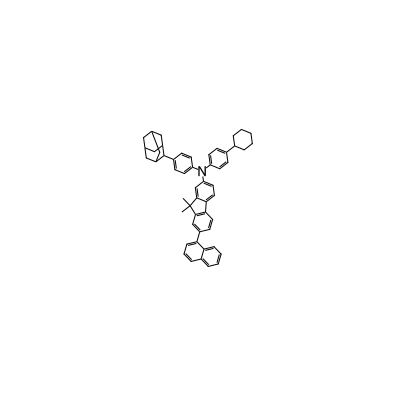 CC1(C)c2cc(-c3cccc4ccccc34)ccc2-c2ccc(N(c3ccc(C4CCCCC4)cc3)c3ccc(C4C5CC6CC(C5)CC4C6)cc3)cc21